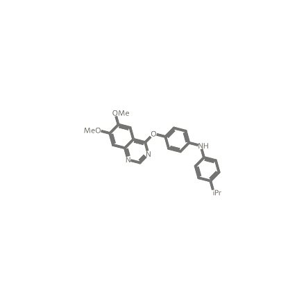 COc1cc2ncnc(Oc3ccc(Nc4ccc(C(C)C)cc4)cc3)c2cc1OC